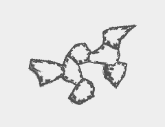 c1ccc2c(c1)c1ccccc1c1c2ccc2c3ccccc3c3ccccc3c21